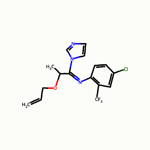 C=CCOC(C)C(=Nc1ccc(Cl)cc1C(F)(F)F)n1ccnc1